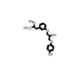 CC(C)OC(Cc1cccc(OCC(O)COc2ccc(C#N)cc2)c1)C(=O)O